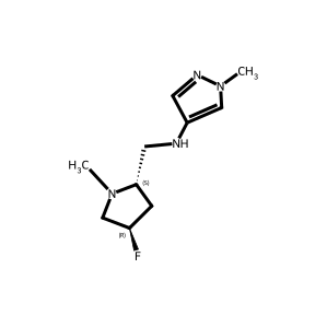 CN1C[C@H](F)C[C@H]1CNc1cnn(C)c1